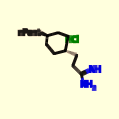 CCCCC[C@H]1CC[C@H](CCC(=N)N)CC1.Cl